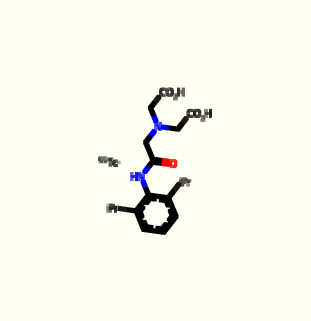 CC(C)c1cccc(C(C)C)c1NC(=O)CN(CC(=O)O)CC(=O)O.[99Tc]